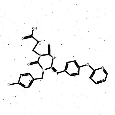 C[C@H](Cn1c(=O)[nH]/c(=N\c2ccc(Oc3ccccn3)cc2)n(Cc2ccc(Cl)cc2)c1=O)C(=O)O